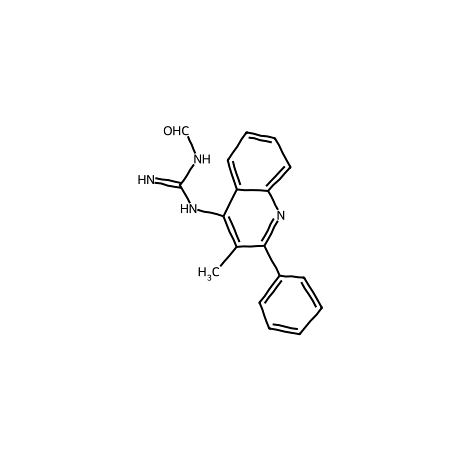 Cc1c(-c2ccccc2)nc2ccccc2c1NC(=N)NC=O